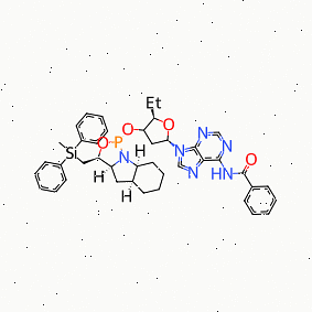 CC[C@H]1O[C@@H](n2cnc3c(NC(=O)c4ccccc4)ncnc32)CC1OP1O[C@H](C[Si](C)(c2ccccc2)c2ccccc2)[C@@H]2C[C@@H]3CCCC[C@@H]3N21